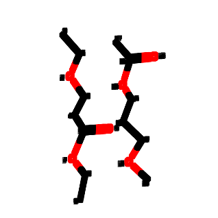 CCOCCC(=O)OCC.COCCCOC(C)=O